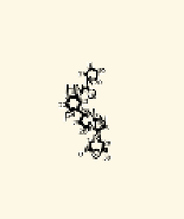 C[C@@H]1CN(c2cnc3nc(-c4cc(NC(=O)N5CCCC5)ccc4F)ccn23)C[C@H](C)O1